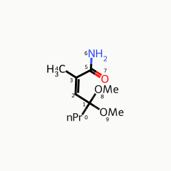 CCCC(C=C(C)C(N)=O)(OC)OC